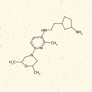 Cc1nc(N2CC(C)OC(C)C2)ccc1NCCC1CCC(N)C1